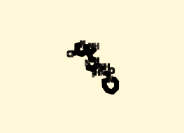 O=C(NNc1nc(-c2c[nH]c3ncc(Cl)cc23)ncc1F)N1CCCCCCC1